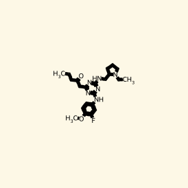 CCCC(=O)Cc1nc(NCC2CCCN2CC)nc(Nc2ccc(OC)c(F)c2)n1